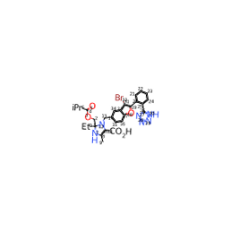 CCC1(COC(=O)C(C)C)NC(C)=C(C(=O)O)N1Cc1ccc2oc(-c3ccccc3-c3nnn[nH]3)c(Br)c2c1